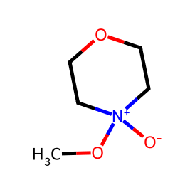 CO[N+]1([O-])CCOCC1